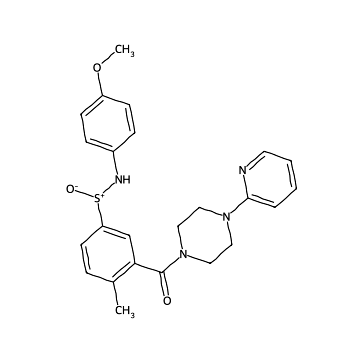 COc1ccc(N[S+]([O-])c2ccc(C)c(C(=O)N3CCN(c4ccccn4)CC3)c2)cc1